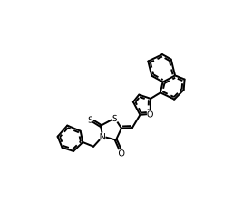 O=C1/C(=C/c2ccc(-c3cccc4ccccc34)o2)SC(=S)N1Cc1ccccc1